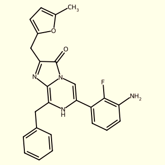 Cc1ccc(Cc2nc3c(Cc4ccccc4)[nH]c(-c4cccc(N)c4F)cn-3c2=O)o1